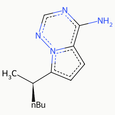 CCCC[C@@H](C)c1ccc2c(N)ncnn12